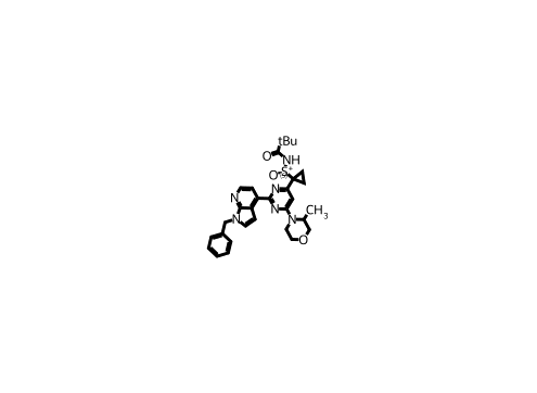 CC1COCCN1c1cc(C2([S@@+]([O-])NC(=O)C(C)(C)C)CC2)nc(-c2ccnc3c2ccn3Cc2ccccc2)n1